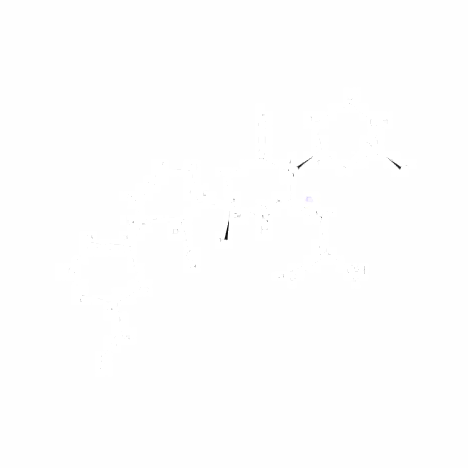 C[C@H]1C[C@@H](N2C(=O)C[C@@](C)(c3cccc(-c4cccc(C=O)c4)c3Cl)N/C2=N\C(=O)O)CCO1